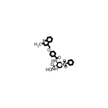 Cc1cc(COc2ccc(C(=O)N[C@@H]3CN(S(=O)(=O)c4ccccc4)CC[C@@H]3C(=O)NO)cc2)c2ccccc2n1